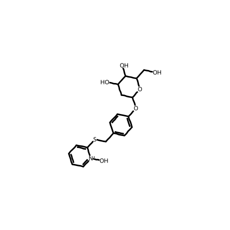 OCC1OC(Oc2ccc(CSc3cccc[n+]3O)cc2)CC(O)C1O